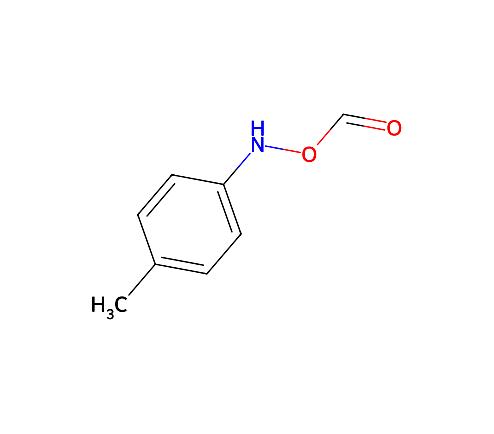 Cc1ccc(NOC=O)cc1